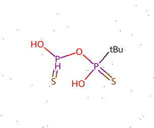 CC(C)(C)P(O)(=S)O[PH](O)=S